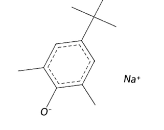 Cc1cc(C(C)(C)C)cc(C)c1[O-].[Na+]